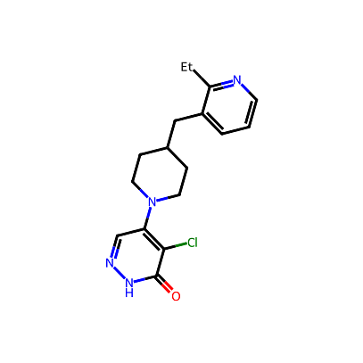 CCc1ncccc1CC1CCN(c2cn[nH]c(=O)c2Cl)CC1